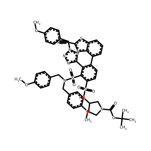 COc1ccc(CN(Cc2ccc(OC)cc2)S(=O)(=O)c2c(S(=O)(=O)NC3CCN(C(=O)OC(C)(C)C)C3)ccc(-c3cccc4sc(C#N)nc34)c2-c2nnn(Cc3ccc(OC)cc3)n2)cc1